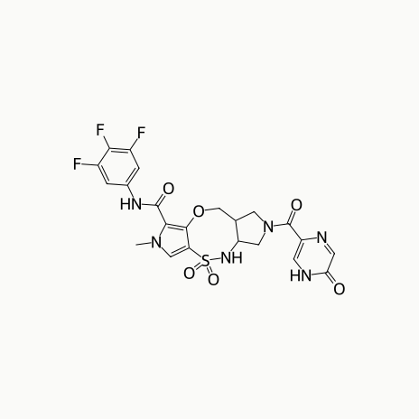 Cn1cc2c(c1C(=O)Nc1cc(F)c(F)c(F)c1)OCC1CN(C(=O)c3c[nH]c(=O)cn3)CC1NS2(=O)=O